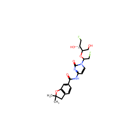 CC1(C)Cc2ccc(C(=O)Nc3ccn(C(CF)OC(CO)[C@H](O)CF)c(=O)n3)cc2O1